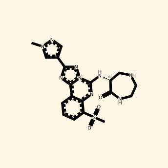 Cn1cc(-c2nc3c4cccc(S(C)(=O)=O)c4nc(N[C@@H]4CNCCNC4=O)n3n2)cn1